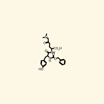 C[S+](C)CC(=O)CCC(NC(=O)C(Cc1ccc(O)cc1)NC(=O)OCc1ccccc1)C(=O)O